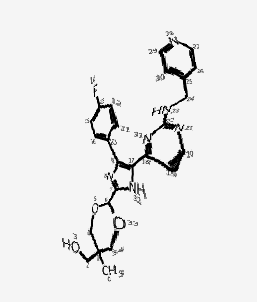 CC1(CO)COC(c2nc(-c3ccc(F)cc3)c(-c3ccnc(NCc4ccncc4)n3)[nH]2)OC1